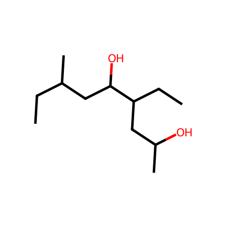 CCC(C)CC(O)C(CC)CC(C)O